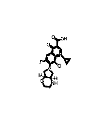 O=C(O)c1cn(C2CC2)c2c(Cl)c(N3C[C@@H]4OCCN[C@@H]4C3)c(F)cc2c1=O